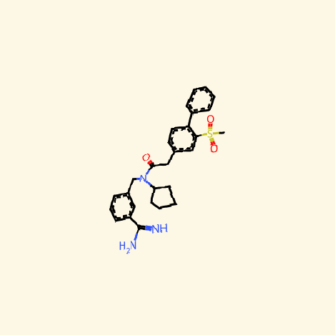 CS(=O)(=O)c1cc(CC(=O)N(Cc2cccc(C(=N)N)c2)C2CCCC2)ccc1-c1ccccc1